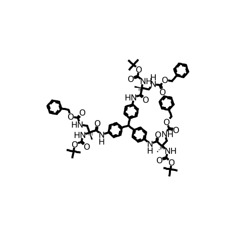 CC(C)(C)OC(=O)N[C@](C)(CNC(=O)OCc1ccccc1)C(=O)Nc1ccc(C(c2ccc(NC(=O)[C@@](C)(CNC(=O)OCc3ccccc3)NC(=O)OC(C)(C)C)cc2)c2ccc(NC(=O)[C@@](C)(CNC(=O)OCc3ccccc3)NC(=O)OC(C)(C)C)cc2)cc1